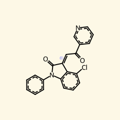 O=C(/C=C1/C(=O)N(c2ccccc2)c2cccc(Cl)c21)c1cccnc1